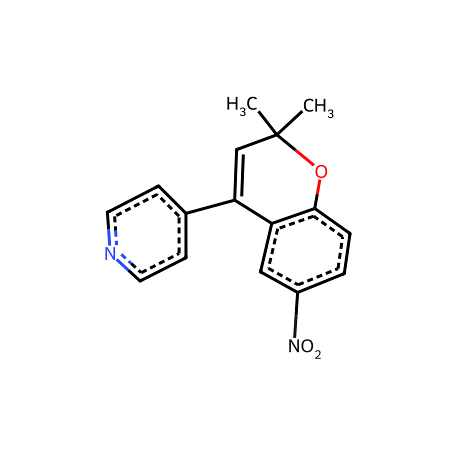 CC1(C)C=C(c2ccncc2)c2cc([N+](=O)[O-])ccc2O1